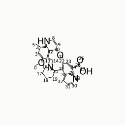 COc1cc(C)c2[nH]ccc(=O)c2c1CN1CCCCC1c1ccc(C(=O)O)c2ncccc12